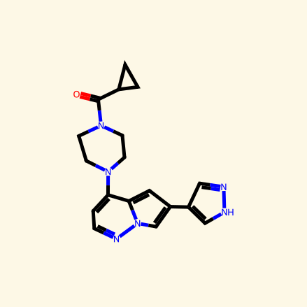 O=C(C1CC1)N1CCN(c2ccnn3cc(-c4cn[nH]c4)cc23)CC1